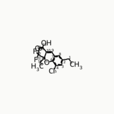 CCc1cc(Cl)c2c(c1)C=C(C(=O)O)C(CC)(C(F)(F)F)O2